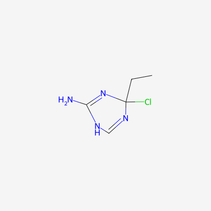 CCC1(Cl)N=CNC(N)=N1